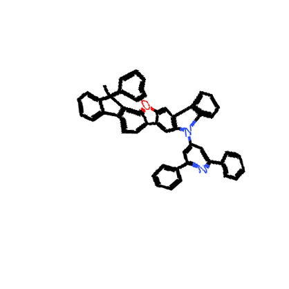 CC1(c2ccccc2)c2ccccc2-c2ccc3c(oc4cc5c6ccccc6n(-c6cc(-c7ccccc7)nc(-c7ccccc7)c6)c5cc43)c21